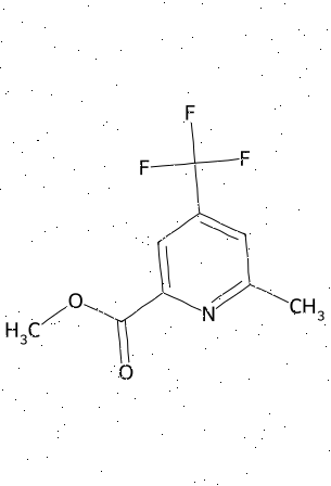 COC(=O)c1cc(C(F)(F)F)cc(C)n1